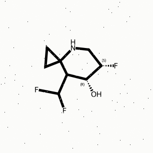 O[C@@H]1C(C(F)F)C2(CC2)NC[C@@H]1F